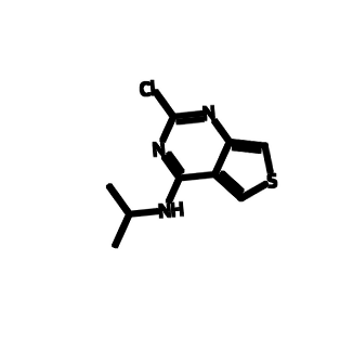 CC(C)Nc1nc(Cl)nc2cscc12